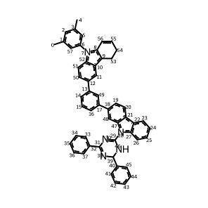 Cc1cc(C)cc(-n2c3c(c4cc(-c5cccc(-c6ccc7c8ccccc8n(C8=NC(c9ccccc9)=NC(c9ccccc9)N8)c7c6)c5)ccc42)CCC=C3)c1